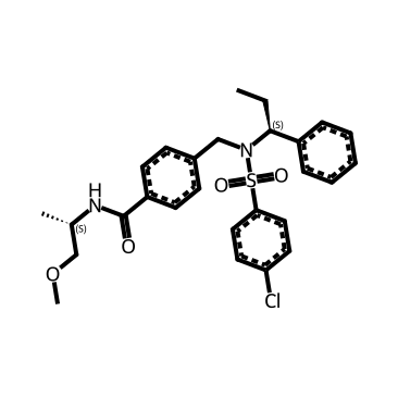 CC[C@@H](c1ccccc1)N(Cc1ccc(C(=O)N[C@@H](C)COC)cc1)S(=O)(=O)c1ccc(Cl)cc1